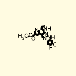 CCOC(=O)c1cncc(-c2cnc(Nc3ccc(F)c(Cl)c3)nc2-c2ccc[nH]2)c1